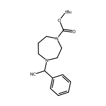 CC(C)(C)OC(=O)N1CCCN(C(C#N)c2ccccc2)CC1